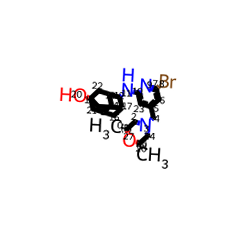 C[C@@H]1CN(Cc2cc(Br)nc(NC3C4CC5CC3CC(O)(C5)C4)c2)C[C@H](C)O1